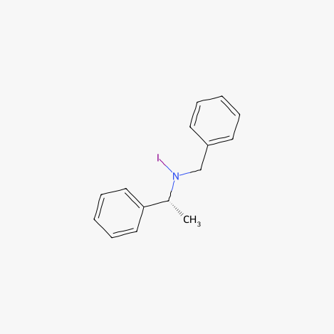 C[C@H](c1ccccc1)N(I)Cc1ccccc1